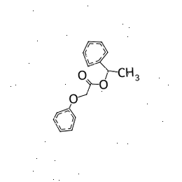 CC(OC(=O)COc1ccccc1)c1ccccc1